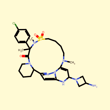 CN1CCCCS(=O)(=O)N(C)C(C)(c2ccc(Cl)cc2)C(=O)N2CCCCC2c2cc3n(n2)C1=CC(N1CC(N)C1)N3